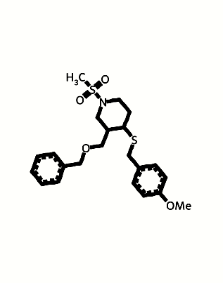 COc1ccc(CSC2CCN(S(C)(=O)=O)CC2COCc2ccccc2)cc1